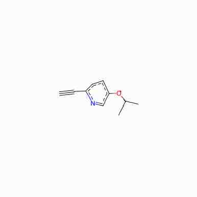 C#Cc1ccc(OC(C)C)cn1